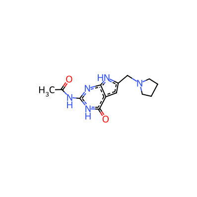 CC(=O)Nc1nc2[nH]c(CN3CCCC3)cc2c(=O)[nH]1